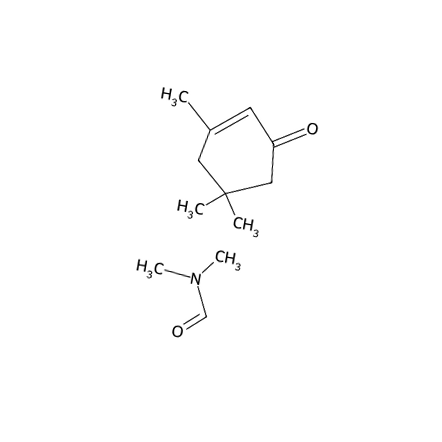 CC1=CC(=O)CC(C)(C)C1.CN(C)C=O